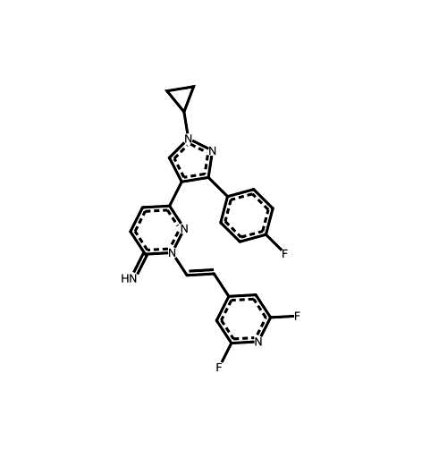 N=c1ccc(-c2cn(C3CC3)nc2-c2ccc(F)cc2)nn1/C=C/c1cc(F)nc(F)c1